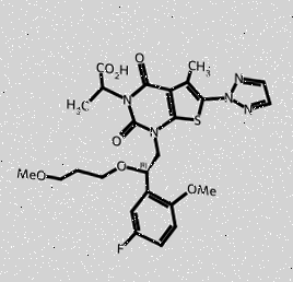 COCCCO[C@@H](Cn1c(=O)n(C(C)C(=O)O)c(=O)c2c(C)c(-n3nccn3)sc21)c1cc(F)ccc1OC